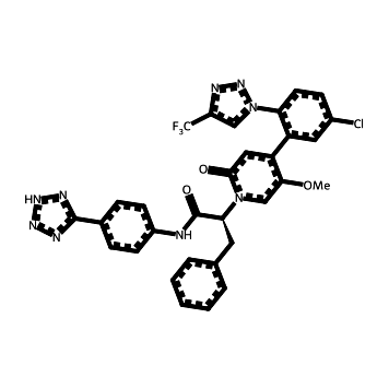 COc1cn([C@@H](Cc2ccccc2)C(=O)Nc2ccc(-c3nn[nH]n3)cc2)c(=O)cc1-c1cc(Cl)ccc1-n1cc(C(F)(F)F)nn1